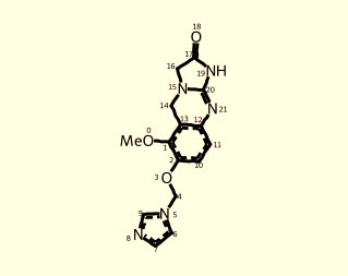 COc1c(OCn2ccnc2)ccc2c1CN1CC(=O)NC1=N2